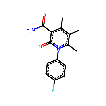 Cc1c(C)c(C)n(-c2ccc(F)cc2)c(=O)c1C(N)=O